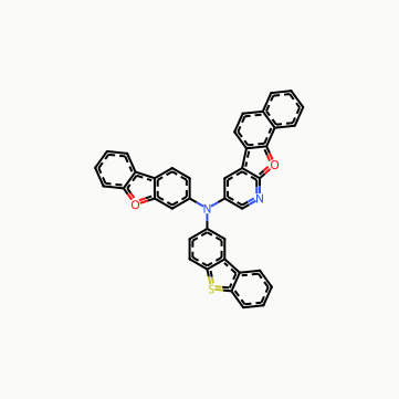 c1ccc2c(c1)ccc1c3cc(N(c4ccc5c(c4)oc4ccccc45)c4ccc5sc6ccccc6c5c4)cnc3oc21